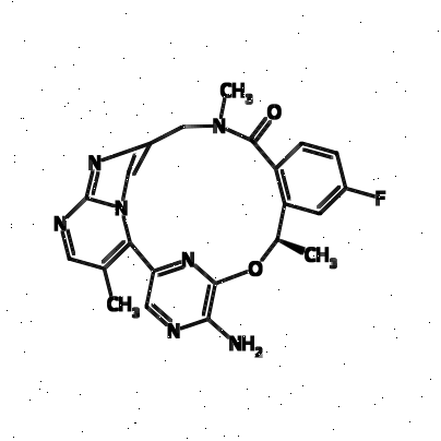 Cc1cnc2nc3cn2c1-c1cnc(N)c(n1)O[C@H](C)c1cc(F)ccc1C(=O)N(C)C3